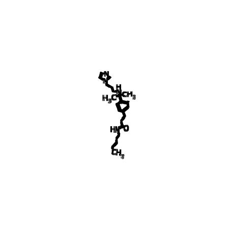 CCCCCNC(=O)CCc1ccc(C(C)(C)NCCCn2ccnc2)cc1